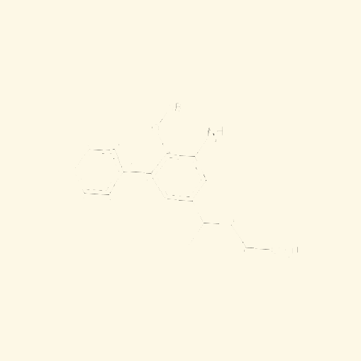 CCCCOc1c(N)cc(C(C)CCC(=O)O)cc1-c1ccccc1